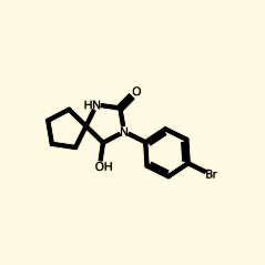 O=C1NC2(CCCC2)C(O)N1c1ccc(Br)cc1